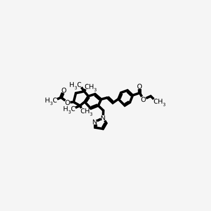 CCOC(=O)c1ccc(/C=C/c2cc3c(cc2Cn2cccn2)C(C)(C)C(OC(C)=O)CC3(C)C)cc1